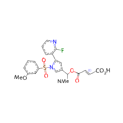 CNC(OC(=O)/C=C/C(=O)O)c1cc(-c2cccnc2F)n(S(=O)(=O)c2cccc(OC)c2)c1